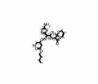 [3H]CC(CC(=O)OCCCC)ON=C(C(=O)NC1C(=O)N2C=CCS[C@@H]12)c1nsc(N)n1